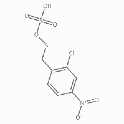 O=[N+]([O-])c1ccc(CSOS(=O)(=O)O)c(Cl)c1